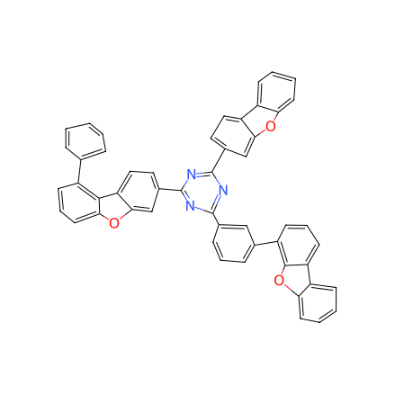 c1ccc(-c2cccc3oc4cc(-c5nc(-c6cccc(-c7cccc8c7oc7ccccc78)c6)nc(-c6ccc7c(c6)oc6ccccc67)n5)ccc4c23)cc1